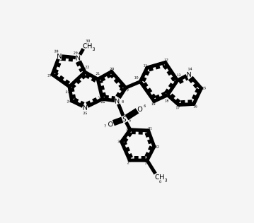 Cc1ccc(S(=O)(=O)n2c(-c3ccc4ncccc4c3)cc3c4c(cnc32)cnn4C)cc1